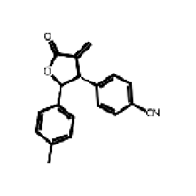 C=C1C(=O)O[C@H](c2ccc(C)cc2)[C@@H]1c1ccc(C#N)cc1